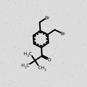 CC(C)(C)C(=O)c1ccc(CBr)c(CBr)c1